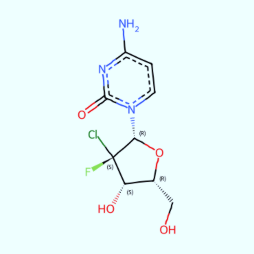 Nc1ccn([C@@H]2O[C@H](CO)[C@H](O)[C@]2(F)Cl)c(=O)n1